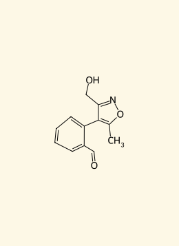 Cc1onc(CO)c1-c1ccccc1C=O